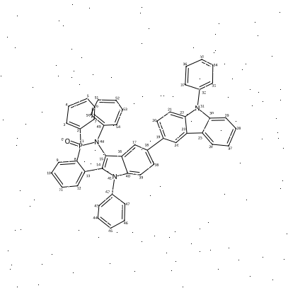 O=P1(c2ccccc2)c2ccccc2-c2c(c3cc(-c4ccc5c(c4)c4ccccc4n5-c4ccccc4)ccc3n2-c2ccccc2)N1c1ccccc1